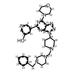 Oc1cncc(-c2nc(N3CCOCC3)c3nnn(C4CCN(CN5CCN(Cc6ccccc6)CC5)CC4)c3n2)c1